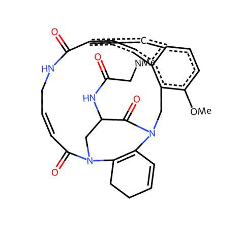 CNCC(=O)NC1CN2C(=O)C=CCNC(=O)c3ccc4c(c(OC)ccc4c3)CN(C1=O)C1=C2CCC=C1